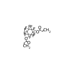 C=CC(=O)OCC1(F)C(F)(F)C(F)(F)C(F)(F)C(F)(COC(=O)C=C)C1(F)F